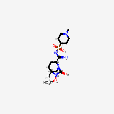 CN1CCC(S(=O)(=O)NC(=N)[C@@H]2CC[C@@H]3CN2C(=O)N3OS(=O)(=O)O)CC1